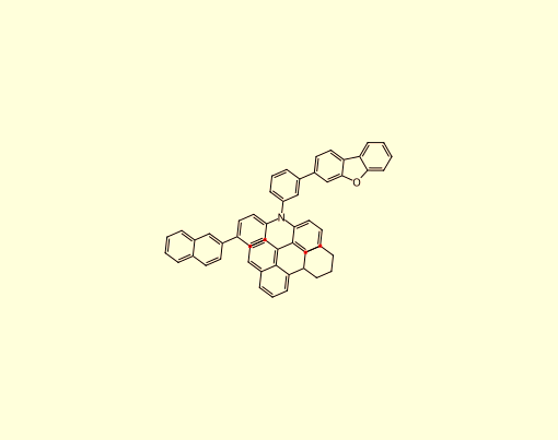 c1cc(-c2ccc3c(c2)oc2ccccc23)cc(N(c2ccc(-c3ccc4ccccc4c3)cc2)c2ccccc2-c2cccc3cccc(C4CCCCC4)c23)c1